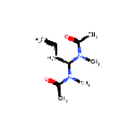 C=C[SiH2]C(N(C)C(C)=O)N(C)C(C)=O